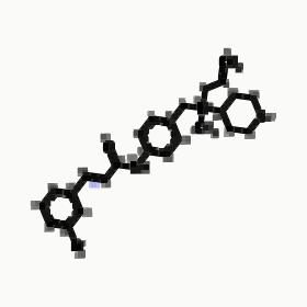 C=CC[N+](C)(Cc1ccc(NC(=O)/C=C/c2cccc(Br)c2)cc1)C1CCSCC1